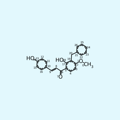 COc1ccc(C(=O)C=Cc2ccc(O)cc2)c(O)c1Cc1ccccc1